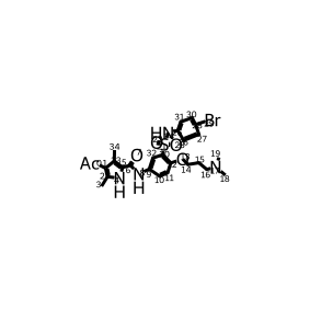 CC(=O)c1c(C)[nH]c(C(=O)Nc2ccc(OCCCN(C)C)c(S(=O)(=O)Nc3ccc(Br)cc3)c2)c1C